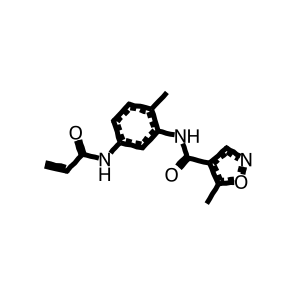 C=CC(=O)Nc1ccc(C)c(NC(=O)c2cnoc2C)c1